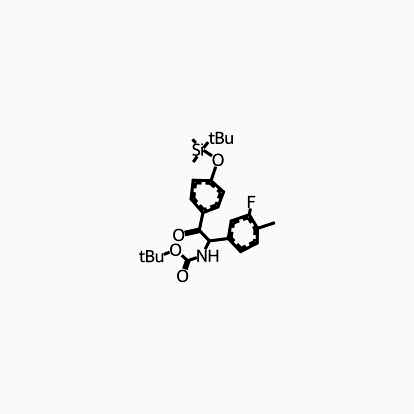 Cc1ccc(C(NC(=O)OC(C)(C)C)C(=O)c2ccc(O[Si](C)(C)C(C)(C)C)cc2)cc1F